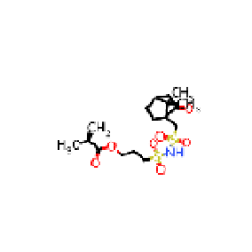 C=C(C)C(=O)OCCCS(=O)(=O)NS(=O)(=O)CC12CCC(CC1=O)C2(C)C